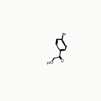 O=C(CO)c1ccc(Br)cc1